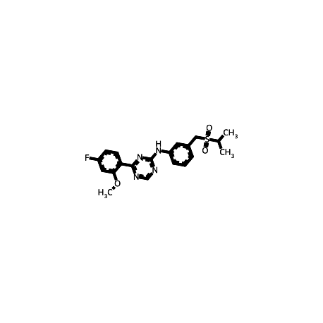 COc1cc(F)ccc1-c1ncnc(Nc2cccc(CS(=O)(=O)C(C)C)c2)n1